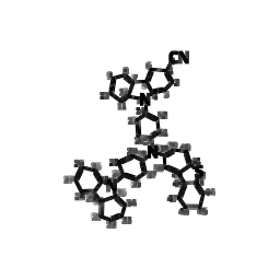 N#Cc1ccc2c(c1)c1ccccc1n2-c1ccc(N(c2ccc(-n3c4ccccc4c4ccccc43)cc2)c2ccc3sc4ccccc4c3c2)cc1